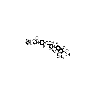 CCn1cc(C(=O)O)c(=O)c2cc(F)c3c(c21)OC[C@@H]1C[C@@](O)(COc2ccc(N4C[C@H](Cn5ccnn5)OC4=O)cc2F)CN31